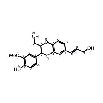 COc1cc(C2Oc3cc(/C=C/CO)ccc3OC2CO)ccc1O